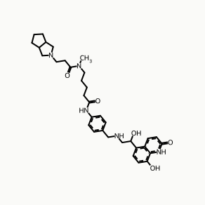 CN(CCCCC(=O)Nc1ccc(CNCC(O)c2ccc(O)c3[nH]c(=O)ccc23)cc1)C(=O)CCN1CC2CCCC2C1